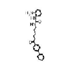 Nc1ccccc1NC(=O)NCCCCCC(=O)c1ccc(-c2ccccc2)cc1